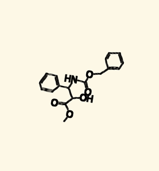 COC(=O)C(O)C(NC(=O)OCc1ccccc1)c1ccccc1